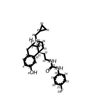 C[C@H]1[C@H]2Cc3ccc(O)cc3[C@@]1(CCNC(=O)Nc1ccc(F)cc1)CCN2CC1CC1